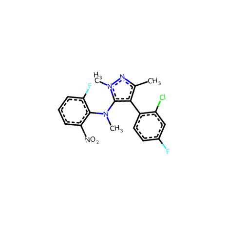 Cc1nn(C)c(N(C)c2c(F)cccc2[N+](=O)[O-])c1-c1ccc(F)cc1Cl